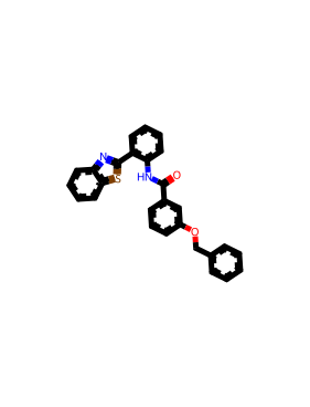 O=C(Nc1ccccc1-c1nc2ccccc2s1)c1cccc(OCc2ccccc2)c1